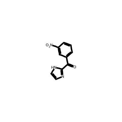 O=C(c1cccc([N+](=O)[O-])c1)c1ncc[nH]1